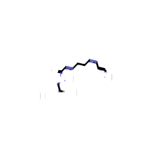 C=C(/C=C/CC/C=C\C=C\C)NCC(C)C